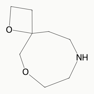 C1COCC2(CCN1)CCO2